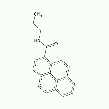 CCCNC(=O)c1ccc2ccc3cccc4ccc1c2c34